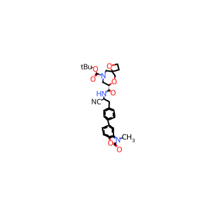 Cn1c(=O)oc2ccc(-c3ccc(C[C@@H](C#N)NC(=O)[C@@H]4CN(C(=O)OC(C)(C)C)CC5(CCO5)CO4)cc3)cc21